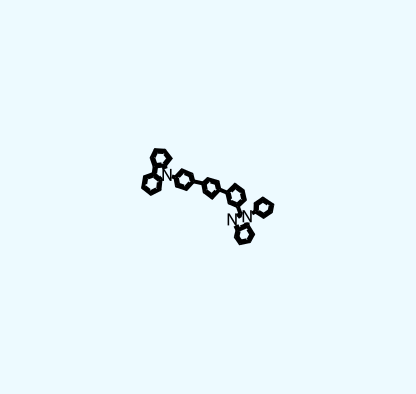 c1ccc(-n2c(-c3cccc(-c4ccc(-c5ccc(-n6c7ccccc7c7ccccc76)cc5)cc4)c3)nc3ccccc32)cc1